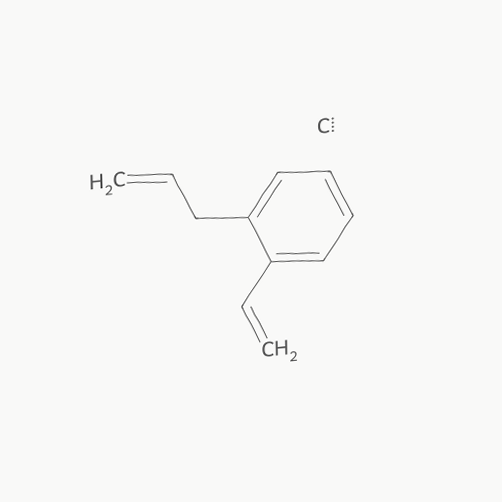 C=CCc1ccccc1C=C.[C]